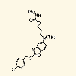 CC(C)(C)NC(=O)OCCCN(C=O)c1ccc2oc(SCc3ccc(Cl)cc3)nc2c1